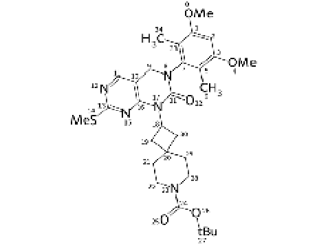 COc1cc(OC)c(C)c(N2Cc3cnc(SC)nc3N(C3CC4(CCN(C(=O)OC(C)(C)C)CC4)C3)C2=O)c1C